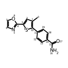 Cc1cc(-c2ncco2)sc1-c1ccc(C(N)=O)cc1